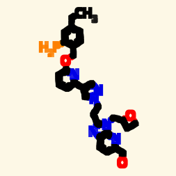 CCc1ccc(COc2cccc(-c3cnn(CCc4nc5ccc(C=O)nc5n4CC4CCO4)c3)n2)c(P)c1